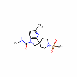 CCCS(=O)(=O)N1CCC(CNC(=O)NC(C)CC)(c2cccc(C(F)(F)F)n2)CC1